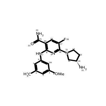 COc1cc(C)cc(Nc2nc(N3CC[C@H](N)C3)c(F)cc2C(N)=O)c1